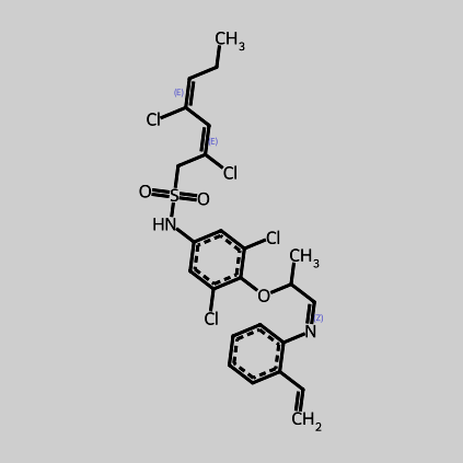 C=Cc1ccccc1/N=C\C(C)Oc1c(Cl)cc(NS(=O)(=O)C/C(Cl)=C\C(Cl)=C/CC)cc1Cl